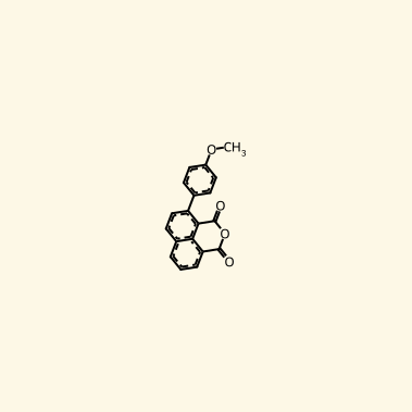 COc1ccc(-c2ccc3cccc4c3c2C(=O)OC4=O)cc1